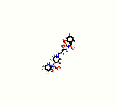 O=C1c2ccccc2S(=O)(=O)N1CCCCN1CCC(n2c(=O)oc3cccnc32)CC1